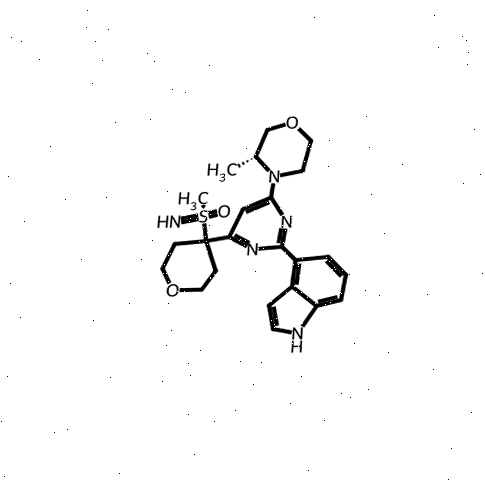 C[C@@H]1COCCN1c1cc(C2([S@@](C)(=N)=O)CCOCC2)nc(-c2cccc3[nH]ccc23)n1